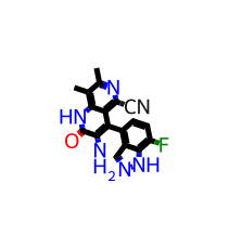 Cc1nc(C#N)c2c(-c3ccc(F)c4[nH]ncc34)c(N)c(=O)[nH]c2c1C